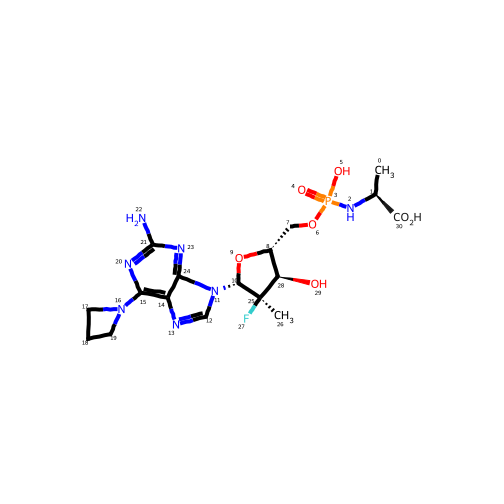 C[C@H](NP(=O)(O)OC[C@H]1O[C@@H](n2cnc3c(N4CCC4)nc(N)nc32)[C@](C)(F)[C@@H]1O)C(=O)O